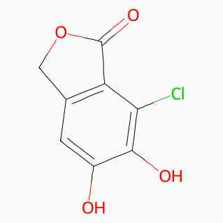 O=C1OCc2cc(O)c(O)c(Cl)c21